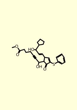 COC(=O)CCCC#CC(O)C1C(=O)C(Sc2ccccc2)=CC1/C=C/C(O)C1CCCC1